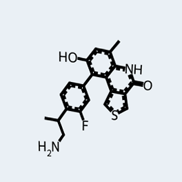 Cc1cc(O)c(-c2ccc(C(C)CN)c(F)c2)c2c1[nH]c(=O)c1cscc12